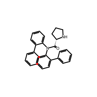 O=C([C@@H]1CCCN1)N(c1ccccc1-c1ccccc1)c1ccccc1-c1ccccc1